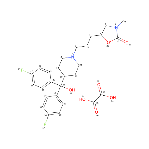 CN1CC(CCCN2CCC(C(O)(c3ccc(F)cc3)c3ccc(F)cc3)CC2)OC1=O.O=C(O)C(=O)O